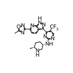 Cc1nc(-c2ccc3c(-c4nc(N[C@H]5CC[C@H](C)NC5)ncc4C(F)(F)F)n[nH]c3n2)no1